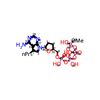 CCCc1cn([C@H]2CC[C@@H](COP(=O)(O)OP(=O)(O)OP(=O)(O)OP(=O)(O)OC)O2)c2ncnc(N)c12